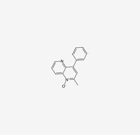 Cc1cc(-c2c[c]ccc2)c2ncccc2[n+]1[O-]